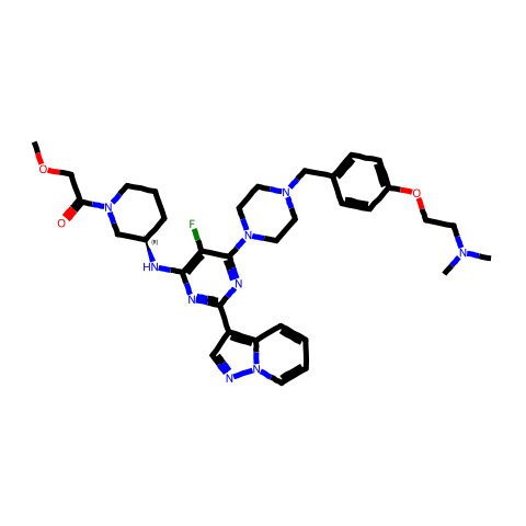 COCC(=O)N1CCC[C@@H](Nc2nc(-c3cnn4ccccc34)nc(N3CCN(Cc4ccc(OCCN(C)C)cc4)CC3)c2F)C1